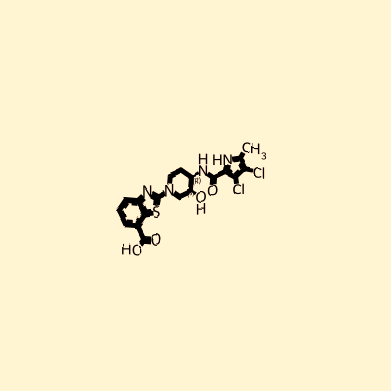 Cc1[nH]c(C(=O)N[C@@H]2CCN(c3nc4cccc(C(=O)O)c4s3)C[C@@H]2O)c(Cl)c1Cl